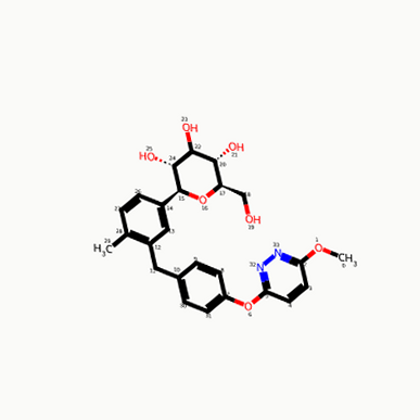 COc1ccc(Oc2ccc(Cc3cc([C@@H]4O[C@H](CO)[C@@H](O)C(O)[C@H]4O)ccc3C)cc2)nn1